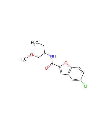 CCC(COC)NC(=O)c1cc2cc(Cl)ccc2o1